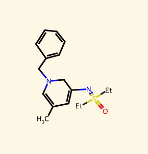 CCS(=O)(CC)=NC1=CC(C)=CN(Cc2ccccc2)C1